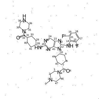 CN1CCN(C(=O)[C@H]2CC[C@@H](n3c(Nc4c(F)cccc4F)nc4cnc(N[C@H]5CC[C@H](C(=O)N6CCNCC6)CC5)nc43)CC2)CC1